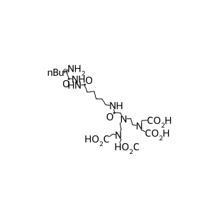 CCCC[C@@H](N)C(=O)NNC(=O)CCCCCNC(=O)CN(CCN(CC(=O)O)CC(=O)O)CCN(CC(=O)O)CC(=O)O